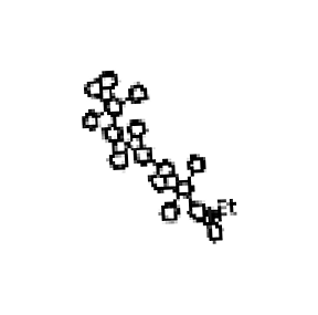 CCn1c2ccccc2c2ccc(-c3cc(-c4ccccc4)c4c(c3-c3ccccc3)-c3cccc5c(-c6ccc7c(c6)-c6ccccc6C76c7ccccc7-c7ccc(-c8cc(-c9ccccc9)c9c(c8-c8ccccc8)-c8cccc%10cccc-9c8%10)cc76)ccc-4c35)cc21